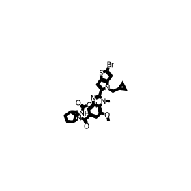 COc1cc(C(=O)N2CC3CCC2C3NC(=O)O)cc2nc(-c3cc4sc(Br)cc4n3CC3CC3)n(C)c12